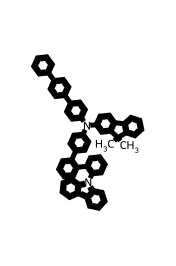 CC1(C)c2ccccc2-c2ccc(N(c3ccc(-c4ccc(-c5ccccc5)cc4)cc3)c3ccc(-c4ccccc4-c4ccccc4-n4c5ccccc5c5ccccc54)cc3)cc21